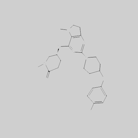 CN1C[C@@H](Nc2nc(N3CCC(Oc4ccc(Cl)cc4)CC3)nc3c2[S+]([O-])CC3)CCC1=O